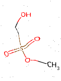 COS(=O)(=O)CO